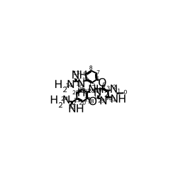 Cc1nc2c(Oc3cccc(NC(=N)N)c3)nc(Oc3cc(C(=N)N)ccc3N)nc2[nH]1